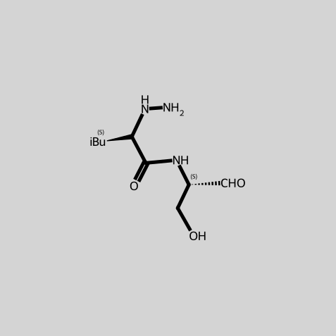 CC[C@H](C)C(NN)C(=O)N[C@H](C=O)CO